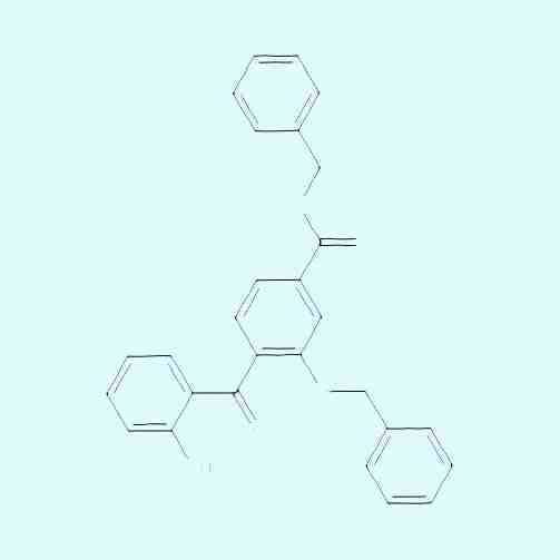 O=C(OCc1ccccc1)c1ccc(C(=O)c2ccccc2O)c(OCc2ccccc2)c1